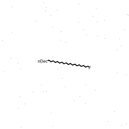 [CH2]CCCCCCCCCCCCCCCCCCCCCCCCCCCCF